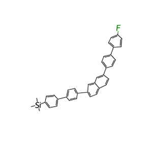 C[Si](C)(C)c1ccc(-c2ccc(-c3ccc4ccc(-c5ccc(-c6ccc(F)cc6)cc5)cc4c3)cc2)cc1